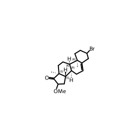 COC1C[C@H]2[C@@H]3CC=C4CC(Br)CC[C@]4(C)[C@@H]3CC[C@]2(C)C1=O